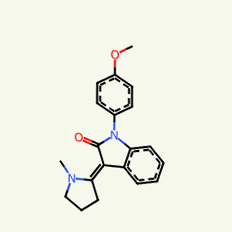 COc1ccc(N2C(=O)C(=C3CCCN3C)c3ccccc32)cc1